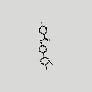 Cc1ccc(C(=O)Oc2ccc(-c3ccc(C)c(C)c3)cc2)cc1